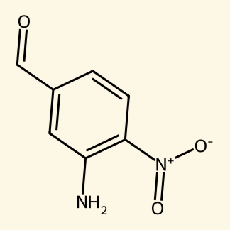 Nc1cc(C=O)ccc1[N+](=O)[O-]